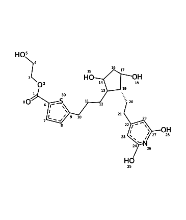 O=C(OCCO)c1ccc(CCCC2C(O)CC(O)[C@@H]2CCc2cc(O)nc(O)c2)s1